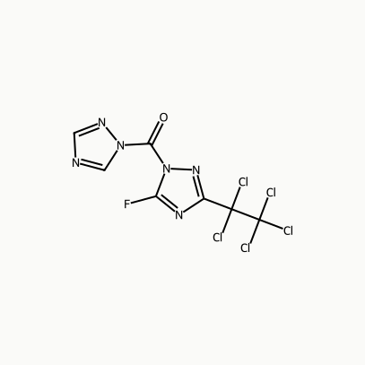 O=C(n1cncn1)n1nc(C(Cl)(Cl)C(Cl)(Cl)Cl)nc1F